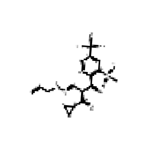 C=CCON=CC(C(=O)c1ccc(C(F)(F)F)cc1S(C)(=O)=O)C(=O)C1CC1